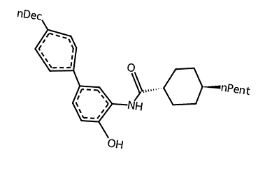 CCCCCCCCCCc1ccc(-c2ccc(O)c(NC(=O)[C@H]3CC[C@H](CCCCC)CC3)c2)cc1